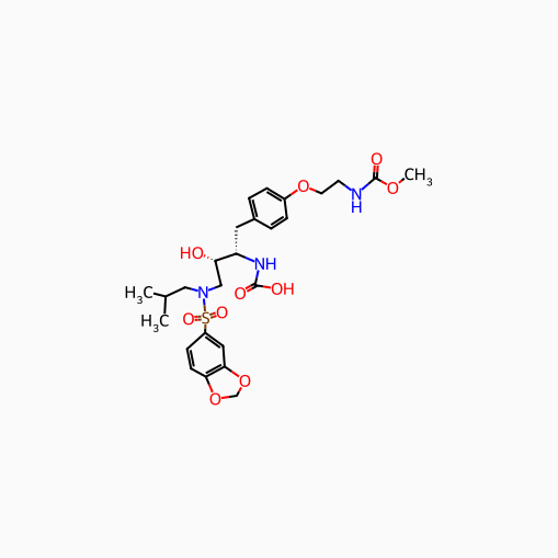 COC(=O)NCCOc1ccc(C[C@H](NC(=O)O)[C@@H](O)CN(CC(C)C)S(=O)(=O)c2ccc3c(c2)OCO3)cc1